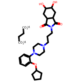 O=C(O)CCC(=O)O.O=C1C2CC(O)C(O)CC2C(=O)N1CCCN1CCN(c2ccccc2OC2CCCC2)CC1